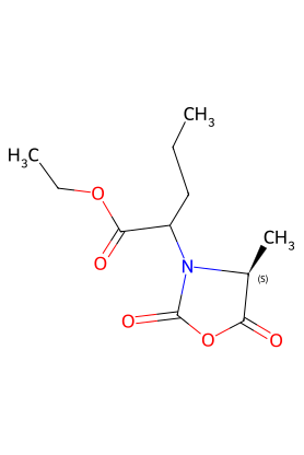 CCCC(C(=O)OCC)N1C(=O)OC(=O)[C@@H]1C